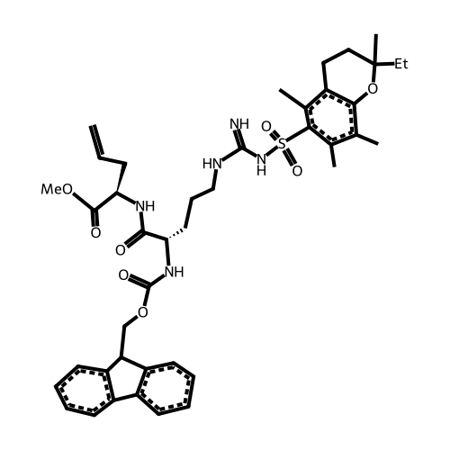 C=CC[C@@H](NC(=O)[C@H](CCCNC(=N)NS(=O)(=O)c1c(C)c(C)c2c(c1C)CCC(C)(CC)O2)NC(=O)OCC1c2ccccc2-c2ccccc21)C(=O)OC